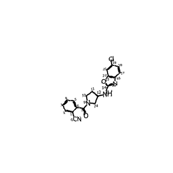 N#Cc1ccccc1C(=O)N1CCC(Nc2nc3ccc(Cl)cc3o2)C1